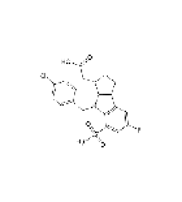 CS(=O)(=O)c1cc(F)cc2c1N(Cc1ccc(Cl)cc1)C1C(CC(=O)O)CCC21